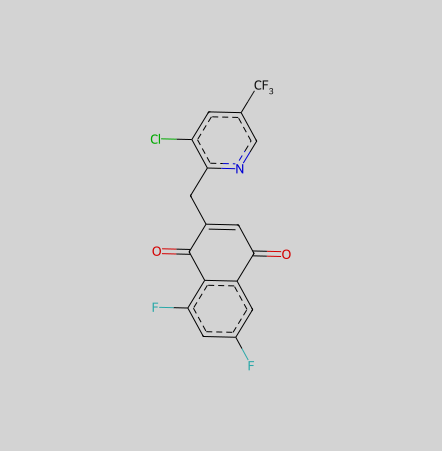 O=C1C=C(Cc2ncc(C(F)(F)F)cc2Cl)C(=O)c2c(F)cc(F)cc21